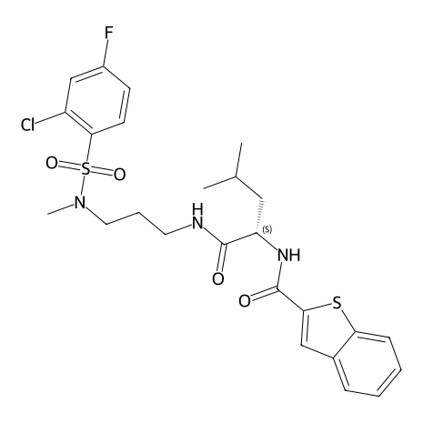 CC(C)C[C@H](NC(=O)c1cc2ccccc2s1)C(=O)NCCCN(C)S(=O)(=O)c1ccc(F)cc1Cl